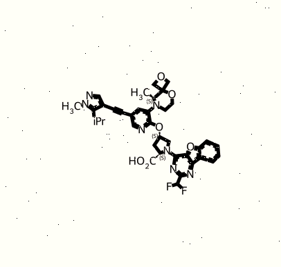 CC(C)c1c(C#Cc2cnc(O[C@H]3C[C@@H](C(=O)O)N(c4nc(C(F)F)nc5c4oc4ccccc45)C3)c(N3CCOC4(COC4)[C@@H]3C)c2)cnn1C